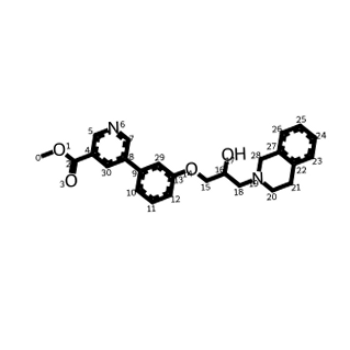 COC(=O)c1cncc(-c2cccc(OCC(O)CN3CCc4ccccc4C3)c2)c1